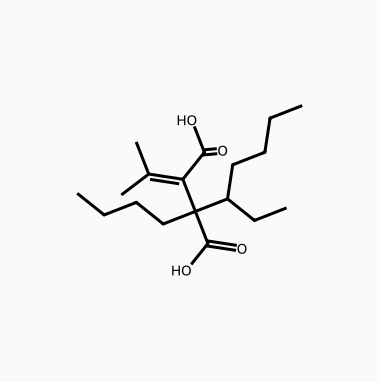 CCCCC(CC)C(CCCC)(C(=O)O)C(C(=O)O)=C(C)C